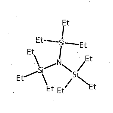 CC[Si](CC)(CC)N([Si](CC)(CC)CC)[Si](CC)(CC)CC